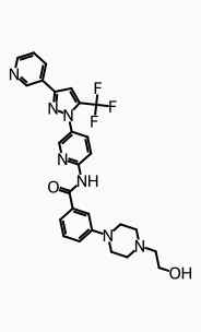 O=C(Nc1ccc(-n2nc(-c3cccnc3)cc2C(F)(F)F)cn1)c1cccc(N2CCN(CCO)CC2)c1